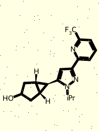 CC(C)n1nc(-c2cccc(C(F)(F)F)n2)cc1[C@H]1[C@@H]2CC(O)C[C@@H]21